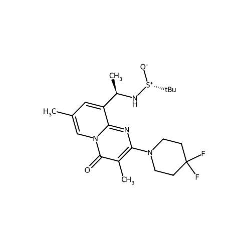 Cc1cc([C@@H](C)N[S@+]([O-])C(C)(C)C)c2nc(N3CCC(F)(F)CC3)c(C)c(=O)n2c1